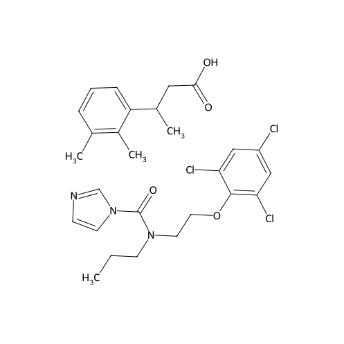 CCCN(CCOc1c(Cl)cc(Cl)cc1Cl)C(=O)n1ccnc1.Cc1cccc(C(C)CC(=O)O)c1C